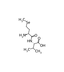 C[Se]CC[C@H](N)C(=O)N[C@H](C(=O)O)C(C)C